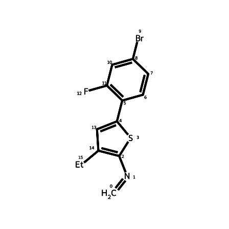 C=Nc1sc(-c2ccc(Br)cc2F)cc1CC